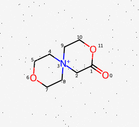 O=C1C[N+]2(CCOCC2)CCO1